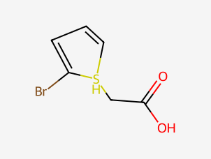 O=C(O)C[SH]1C=CC=C1Br